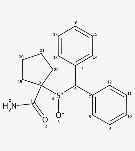 NC(=O)C1([S+]([O-])C(c2ccccc2)c2ccccc2)CCCC1